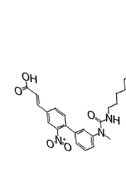 CCCCCCCNC(=O)N(C)c1cccc(-c2ccc(C=CC(=O)O)cc2[N+](=O)[O-])c1